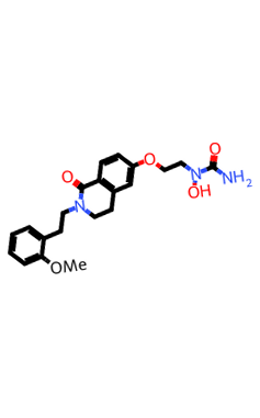 COc1ccccc1CCN1CCc2cc(OCCN(O)C(N)=O)ccc2C1=O